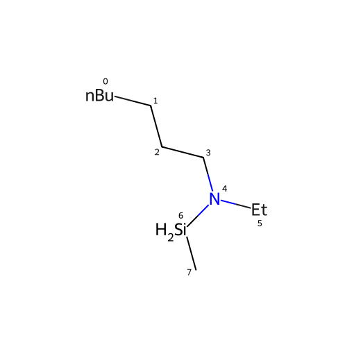 CCCCCCCN(CC)[SiH2]C